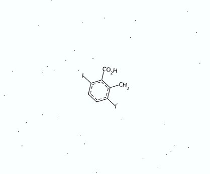 Cc1c(I)ccc(I)c1C(=O)O